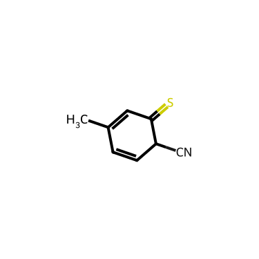 CC1=CC(=S)C(C#N)C=C1